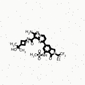 CC[C@H](N1Cc2cc(-c3ccn4nc(N)c(C(=O)NC5CC(C(C)(C)O)C5)c4n3)cc(NS(C)(=O)=O)c2C1=O)C(F)(F)F